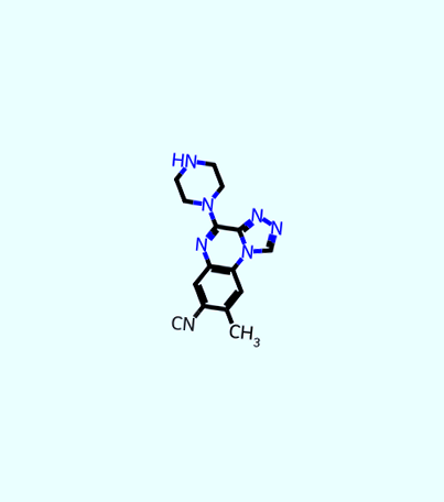 [C-]#[N+]c1cc2nc(N3CCNCC3)c3nncn3c2cc1C